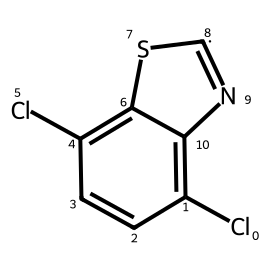 Clc1ccc(Cl)c2s[c]nc12